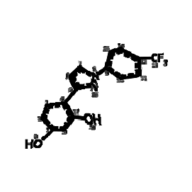 Oc1ccc(-c2ccn(-c3ccc(C(F)(F)F)cc3)n2)c(O)c1